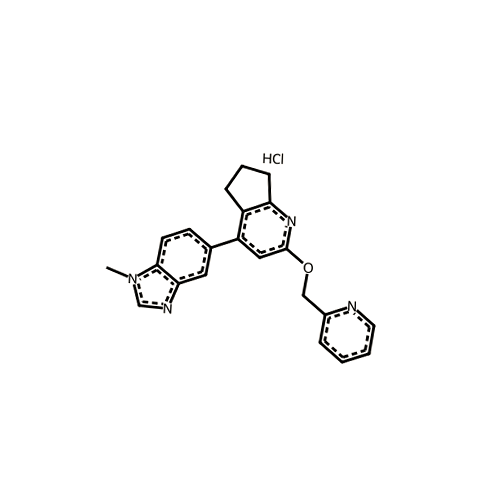 Cl.Cn1cnc2cc(-c3cc(OCc4ccccn4)nc4c3CCC4)ccc21